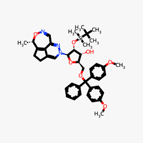 COc1ccc(C(OC[C@H]2O[C@@H](N3C=C4CCC5=C4C(=N3)C=NO[C@H]5C)[C@H](O[Si](C)(C)C(C)(C)C)[C@@H]2O)(c2ccccc2)c2ccc(OC)cc2)cc1